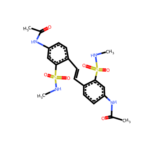 CNS(=O)(=O)c1cc(NC(C)=O)ccc1/C=C/c1ccc(NC(C)=O)cc1S(=O)(=O)NC